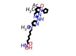 CC(=O)c1c(C)c2cnc(Nc3ccc(N(C)CCCCCCC(=O)NO)cn3)nc2n(C2CCCC2)c1=O